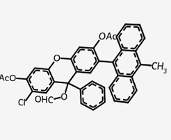 CC(=O)Oc1cc2c(cc1Cl)C(OC=O)(c1ccccc1)c1cc(-c3c4ccccc4c(C)c4ccccc34)c(OC(C)=O)cc1O2